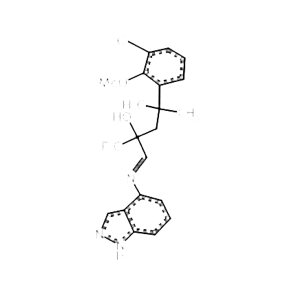 COc1c(Cl)cccc1C(C)(C)CC(O)(C=Nc1cccc2[nH]ncc12)C(F)(F)F